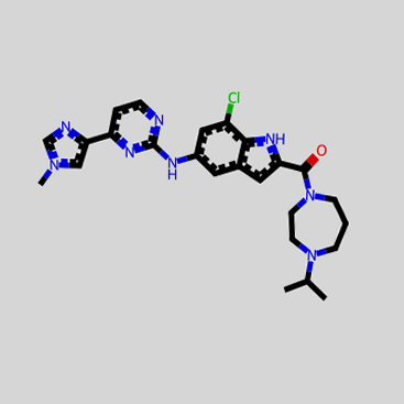 CC(C)N1CCCN(C(=O)c2cc3cc(Nc4nccc(-c5cn(C)cn5)n4)cc(Cl)c3[nH]2)CC1